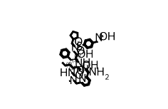 CC[C@H](C)[C@H](NC(=O)N(C)Cc1cccc(C(N)=NO)n1)C(=O)N[C@@H](Cc1ccccc1)[C@H](O)CN(CC1CCCC1)S(=O)(=O)c1ccc(C=NO)cc1